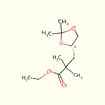 CCOC(=O)C(C)(C)C[C@H]1COC(C)(C)O1